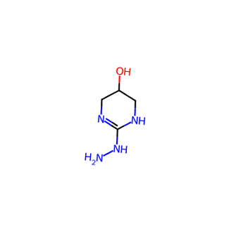 NNC1=NCC(O)CN1